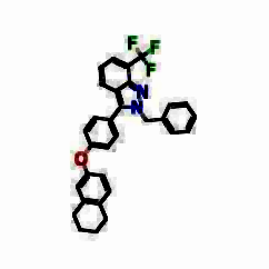 FC(F)(F)c1cccc2c(-c3ccc(Oc4ccc5c(c4)CCCC5)cc3)n(Cc3ccccc3)nc12